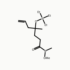 C=CCC(C)(CCC(=O)N(C)OC)O[Si](CC)(CC)CC